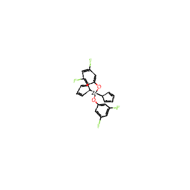 Fc1cc(F)cc([O][Zr]([O]c2cc(F)cc(F)c2)([CH]2C=CC=C2)[CH]2C=CC=C2)c1